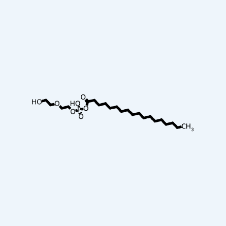 CCCCCCCCCCCCCCCCCC(=O)OP(=O)(O)OCCOCCO